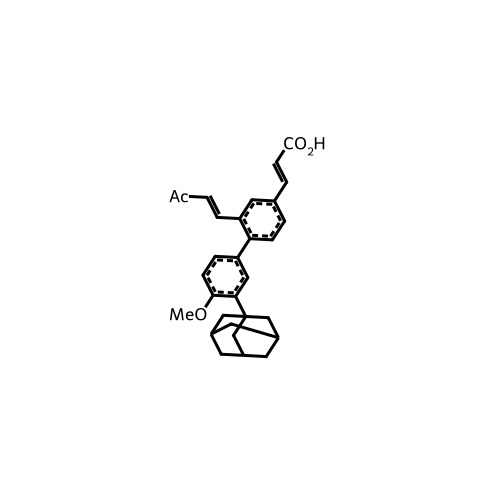 COc1ccc(-c2ccc(/C=C/C(=O)O)cc2/C=C/C(C)=O)cc1C12CC3CC(CC(C3)C1)C2